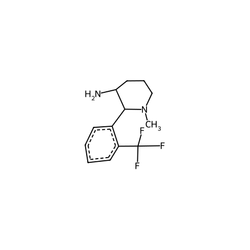 CN1CCCC(N)C1c1ccccc1C(F)(F)F